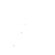 C[C@H](C[C@@H](Cc1ccc(-c2cccc(Cl)c2)cc1)NC(=O)c1cc(C(=O)O)n[nH]1)C(=O)O